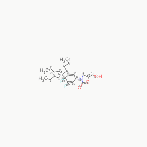 CCC[CH2][Sn]([CH2]CCC)([CH2]CCC)[C]1(F)C=CC(N2CC(CO)OC2=O)C=C1F